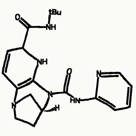 CC(C)(C)NC(=O)C1C=CC2=C(N1)N(C(=O)Nc1ccccn1)[C@H]1CCN2C1